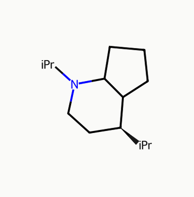 CC(C)[C@H]1CCN(C(C)C)C2CCCC21